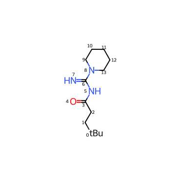 CC(C)(C)CCC(=O)NC(=N)N1CCCCC1